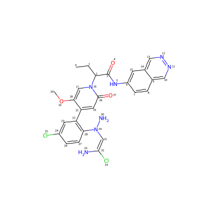 CCC(C(=O)Nc1ccc2cnncc2c1)n1cc(OC)c(-c2cc(Cl)ccc2N(N)/C=C(\N)Cl)cc1=O